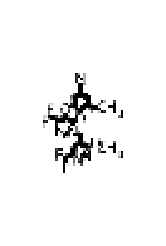 CCc1cc(C#N)cc(Oc2c(C(F)F)ncn(Cc3cc(C(F)F)nnc3OC)c2=O)c1